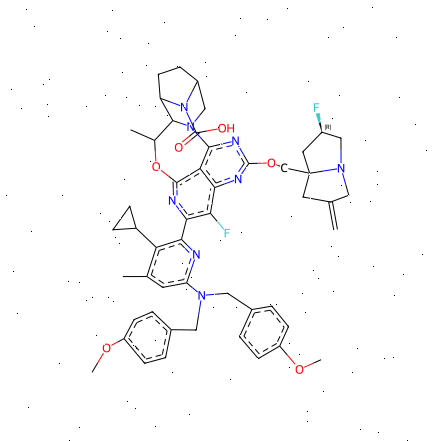 C=C1CN2C[C@H](F)CC2(COc2nc3c4c(nc(-c5nc(N(Cc6ccc(OC)cc6)Cc6ccc(OC)cc6)cc(C)c5C5CC5)c(F)c4n2)OC(C)C2C4CCC(CN32)N4C(=O)O)C1